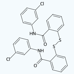 O=C(Nc1cccc(Cl)c1)c1ccccc1SSc1ccccc1C(=O)Nc1cccc(Cl)c1